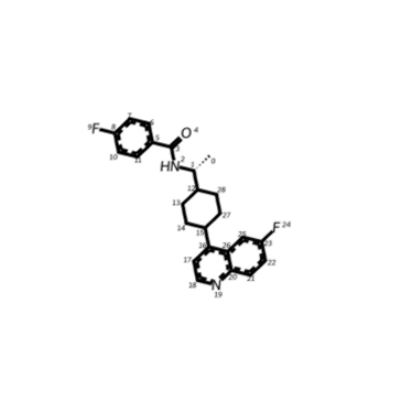 C[C@@H](NC(=O)c1ccc(F)cc1)C1CCC(c2ccnc3ccc(F)cc23)CC1